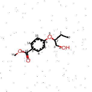 CCC(CO)Oc1ccc(C(=O)OC)cc1